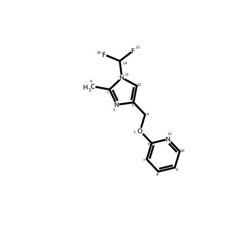 Cc1nc(COc2ccccn2)cn1C(F)F